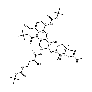 CNC(=O)O[C@@H]1[C@@H](O)[C@@H](O[C@@H]2[C@@H](O)[C@H](O[C@H]3OC(CN)=CC[C@H]3NC(=O)OC(C)(C)C)[C@@H](NC(=O)OC(C)(C)C)C[C@H]2NC(=O)C(O)CCNC(=O)OC(C)(C)C)OC[C@@]1(C)O